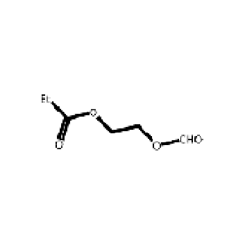 CCC(=O)OCCO[C]=O